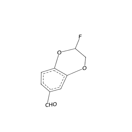 O=Cc1ccc2c(c1)OCC(F)O2